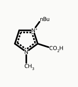 CCCC[n+]1ccn(C)c1C(=O)O